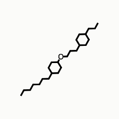 CCCCCCCC1CCC(OCCCC2CCC(CCC)CC2)CC1